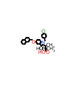 Cc1c(C(C)C(C)(C)C(=O)O)n(Cc2ccc(Cl)cc2)c2ccc(OCc3ccc4ccccc4c3)cc12